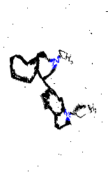 CN1Cc2ccccc2C(c2ccc3ccn(C)c3c2)C1